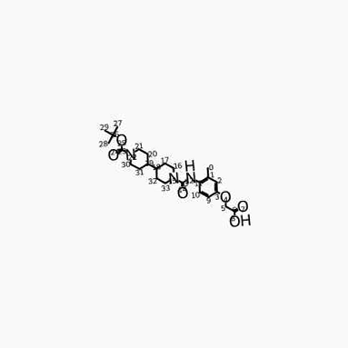 Cc1cc(OCC(=O)O)ccc1NC(=O)N1CCC(C2CCN(C(=O)OC(C)(C)C)CC2)CC1